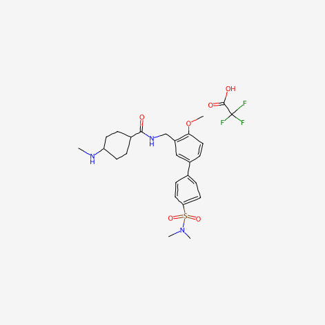 CNC1CCC(C(=O)NCc2cc(-c3ccc(S(=O)(=O)N(C)C)cc3)ccc2OC)CC1.O=C(O)C(F)(F)F